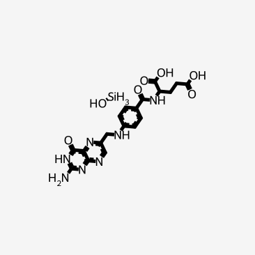 Nc1nc2ncc(CNc3ccc(C(=O)NC(CCC(=O)O)C(=O)O)cc3)nc2c(=O)[nH]1.O[SiH3]